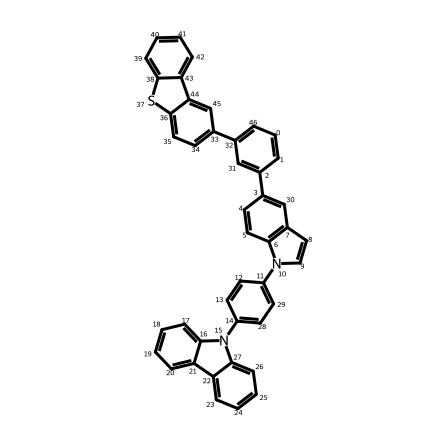 c1cc(-c2ccc3c(ccn3-c3ccc(-n4c5ccccc5c5ccccc54)cc3)c2)cc(-c2ccc3sc4ccccc4c3c2)c1